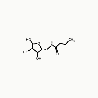 CCCC(=O)NC[C@H]1OC(O)[C@H](O)[C@@H]1O